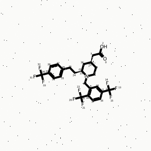 O=C(O)C[C@H]1CCN(Cc2cc(C(F)(F)F)ccc2C(F)(F)F)[C@@H](CCc2ccc(C(F)(F)F)cc2)C1